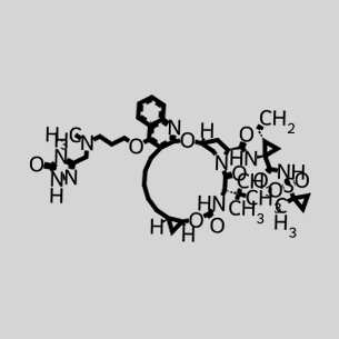 C=C[C@@H]1C[C@]1(NC(=O)[C@@H]1C[C@@H]2CN1C(=O)[C@H](C(C)(C)C)NC(=O)O[C@@H]1C[C@H]1CCCCCc1c(nc3ccccc3c1OCCCN(C)Cc1n[nH]c(=O)[nH]1)O2)C(=O)NS(=O)(=O)C1(C)CC1